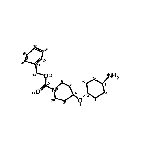 N[C@H]1CC[C@H](OC2CCN(C(=O)OCc3ccccc3)CC2)CC1